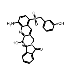 Nc1ccc(S(=O)(=O)Cc2cccc(O)c2)c2cc(CN3C(=O)c4ccccc4C3=O)c(C(=O)O)nc12